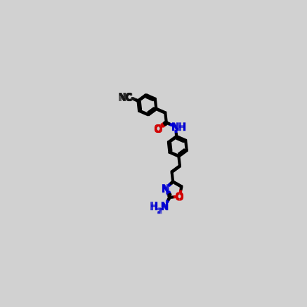 N#Cc1ccc(CC(=O)Nc2ccc(CCC3COC(N)=N3)cc2)cc1